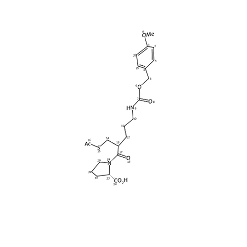 COc1ccc(COC(=O)NCCCC(CSC(C)=O)C(=O)N2CCC[C@H]2C(=O)O)cc1